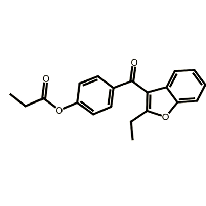 CCC(=O)Oc1ccc(C(=O)c2c(CC)oc3ccccc23)cc1